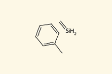 C=[SiH2].Cc1ccccc1